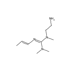 C/C=C/N=C(\N(C)C)N(C)CCN